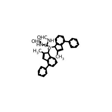 CC1=Cc2c(-c3ccccc3)cccc2[CH]1[Zr]([CH]1C(C)=Cc2c(-c3ccccc3)cccc21)[In]([NH]C=O)[NH]C=O